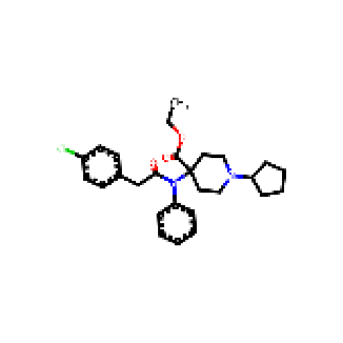 CCOC(=O)C1(N(C(=O)Cc2ccc(Cl)cc2)c2ccccc2)CCN(C2CCCC2)CC1